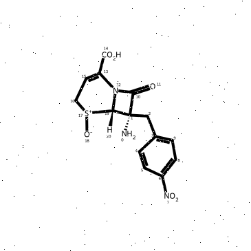 N[C@@]1(Cc2ccc([N+](=O)[O-])cc2)C(=O)N2C(C(=O)O)=CC[S+]([O-])[C@H]21